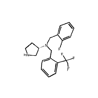 Fc1ccccc1CN(Cc1ccccc1C(F)(F)F)[C@H]1CCNC1